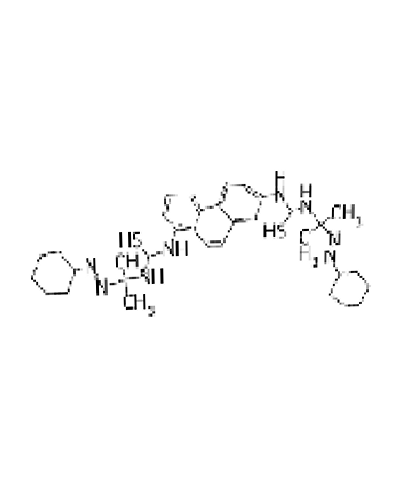 CC(C)(N=NC1CCCCC1)NC(S)Nc1ccc2c(ccc3c(NC(S)NC(C)(C)N=NC4CCCCC4)cccc32)c1